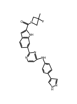 CC1(F)CN(C(=O)c2cc3ccc(-c4nccc(Nc5ccc(-c6cn[nH]c6)cc5)n4)cc3[nH]2)C1